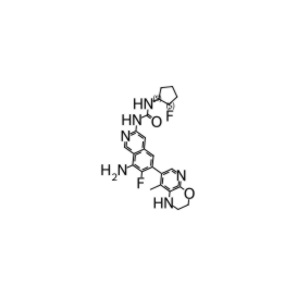 Cc1c(-c2cc3cc(NC(=O)N[C@H]4CCC[C@@H]4F)ncc3c(N)c2F)cnc2c1NCCO2